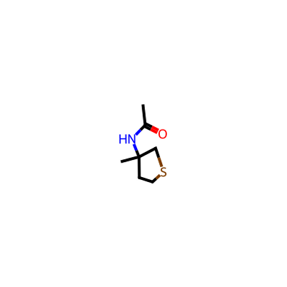 CC(=O)NC1(C)CCSC1